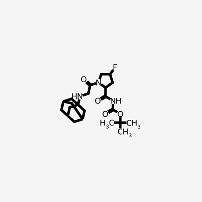 CC(C)(C)OC(=O)NC(=O)C1CC(F)CN1C(=O)CNC12CC3CC(CC(C3)C1)C2